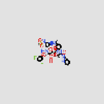 CO[C@H](C[C@H](O)[C@H](COc1cc(F)cc(F)c1)NC(=O)[C@@H]1C[C@@H](N(C)S(C)(=O)=O)C[C@H]1C(=O)N[C@@H](C)c1ccccc1)C(=O)N[C@H](C(=O)NCc1ccccc1)C(C)C